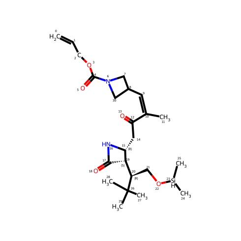 C=CCOC(=O)N1CC(C=C(C)C(=O)C[C@H]2NC(=O)[C@H]2[C@@H](CO[SiH](C)C)C(C)(C)C)C1